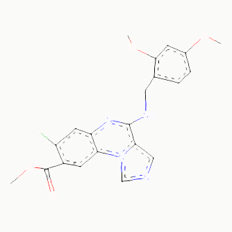 COC(=O)c1cc2c(cc1Cl)nc(NCc1ccc(OC)cc1OC)c1cncn12